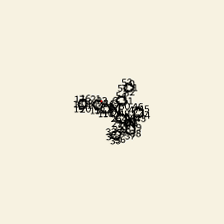 c1ccc(-c2ccc(N(c3ccc4cc(-c5ccccc5)ccc4c3)c3ccc4c5c(-c6ccccc6)cccc5n(-c5ccccc5)c4c3)cc2)cc1